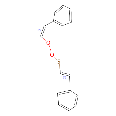 C(=C/c1ccccc1)/OOS/C=C/c1ccccc1